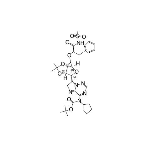 CC(C)(C)OC(=O)N(C1=NC=NN2C1=NCC2[C@@H]1O[C@@H]2C(OC(Cc3ccccc3)C(=O)NS(C)(=O)=O)[C@@]23OC(C)(C)O[C@@H]13)C1CCCC1